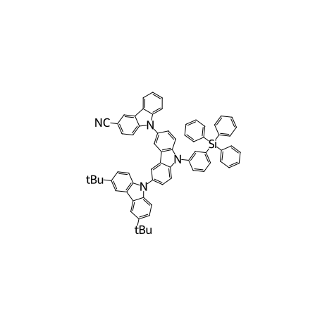 CC(C)(C)c1ccc2c(c1)c1cc(C(C)(C)C)ccc1n2-c1ccc2c(c1)c1cc(-n3c4ccccc4c4cc(C#N)ccc43)ccc1n2-c1cccc([Si](c2ccccc2)(c2ccccc2)c2ccccc2)c1